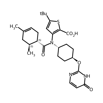 CC1=CC[C@H](C(=O)N(c2cc(C(C)(C)C)sc2C(=O)O)[C@H]2CC[C@H](Oc3nccc(=O)[nH]3)CC2)[C@@H](C)C1